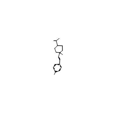 CC(C)C1CCC(C)(/C=C/c2ccc(Cl)cc2)CC1